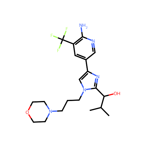 CC(C)C(O)c1nc(-c2cnc(N)c(C(F)(F)F)c2)cn1CCCN1CCOCC1